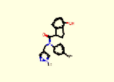 CCn1cc(CN(C(=O)C2CCc3c(O)cccc32)c2ccc(C(C)C)cc2)cn1